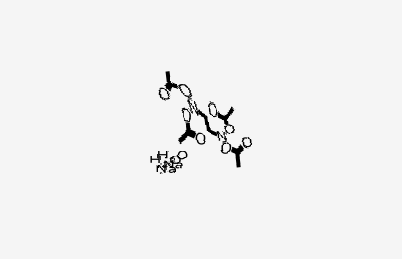 CC(=O)ON(CCN(OC(C)=O)OC(C)=O)OC(C)=O.O.O.[Na].[Na]